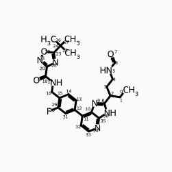 CCC(CCNC=O)c1nc2c(-c3ccc(CNC(=O)c4noc(C(C)(C)C)n4)c(F)c3)ccnc2[nH]1